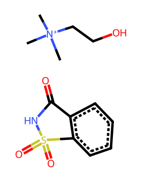 C[N+](C)(C)CCO.O=C1NS(=O)(=O)c2ccccc21